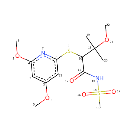 COc1cc(OC)nc(SC(C(=O)NS(C)(=O)=O)C(C)(C)OC)c1